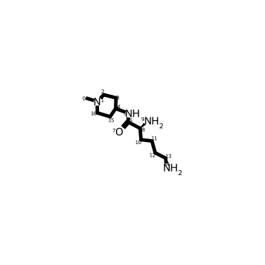 CN1CCC(NC(=O)[C@@H](N)CCCCN)CC1